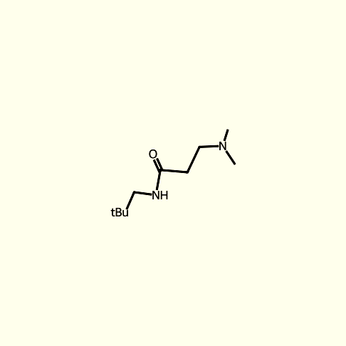 CN(C)CCC(=O)NCC(C)(C)C